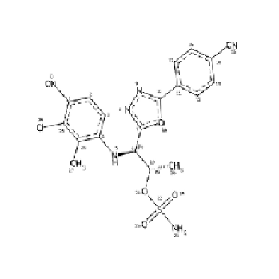 [C-]#[N+]c1ccc(N[C@@H](c2nnc(-c3ccc(C#N)cc3)o2)[C@H](C)OS(N)(=O)=O)c(C)c1Cl